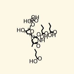 CCCC(=O)O.CCCC(=O)O.CCCC(=O)O.Cc1cn([C@H]2C[C@H](O)[C@@H](COP(=O)(O)O)O2)c(=O)[nH]c1=O